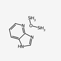 [SiH3]O[SiH3].c1cnc2nc[nH]c2c1